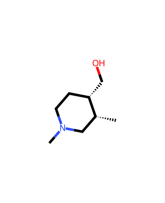 C[C@@H]1CN(C)CC[C@@H]1CO